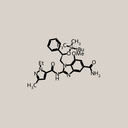 CCn1nc(C)cc1C(=O)Nc1nc2cc(C(N)=O)cc(OC)c2n1C[C@H](O[Si](C)(C)C(C)(C)C)c1ccccc1